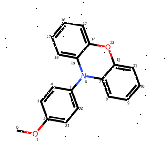 COc1ccc(N2c3ccccc3Oc3ccccc32)cc1